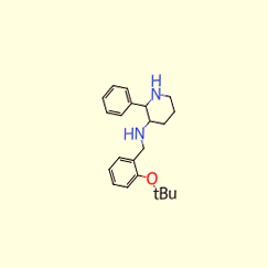 CC(C)(C)Oc1ccccc1CNC1CCCNC1c1ccccc1